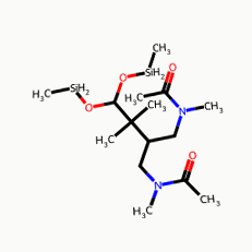 C[SiH2]OC(O[SiH2]C)C(C)(C)C(CN(C)C(C)=O)CN(C)C(C)=O